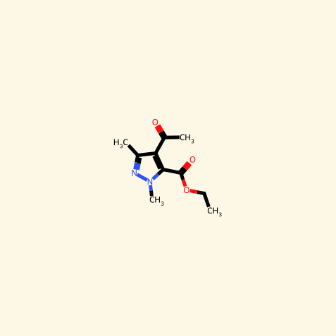 CCOC(=O)c1c(C(C)=O)c(C)nn1C